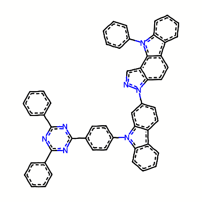 c1ccc(-c2nc(-c3ccccc3)nc(-c3ccc(-n4c5ccccc5c5ccc(-n6ncc7c6ccc6c8ccccc8n(-c8ccccc8)c67)cc54)cc3)n2)cc1